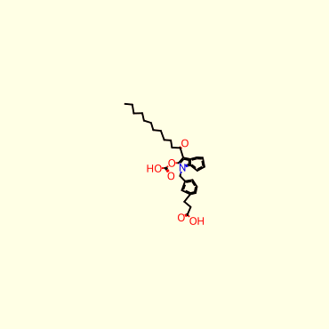 CCCCCCCCCCCC(=O)c1c(OC(=O)O)n(Cc2cccc(CCC(=O)O)c2)c2ccccc12